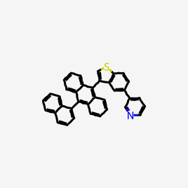 c1cncc(-c2ccc3scc(-c4c5ccccc5c(-c5cccc6ccccc56)c5ccccc45)c3c2)c1